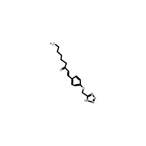 CCCCCCC(=O)C=Cc1ccc(OCc2nnn[nH]2)cc1